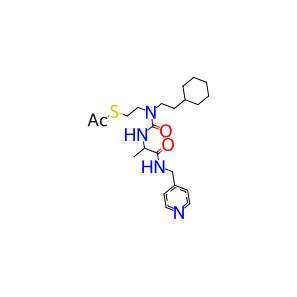 CC(=O)SCCN(CCC1CCCCC1)C(=O)NC(C)C(=O)NCc1ccncc1